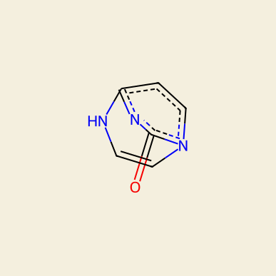 O=c1nc2ccn1C=CN2